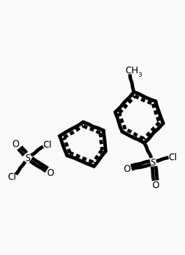 Cc1ccc(S(=O)(=O)Cl)cc1.O=S(=O)(Cl)Cl.c1ccccc1